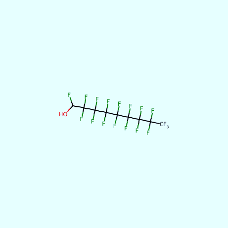 OC(F)C(F)(F)C(F)(F)C(F)(F)C(F)(F)C(F)(F)C(F)(F)C(F)(F)C(F)(F)F